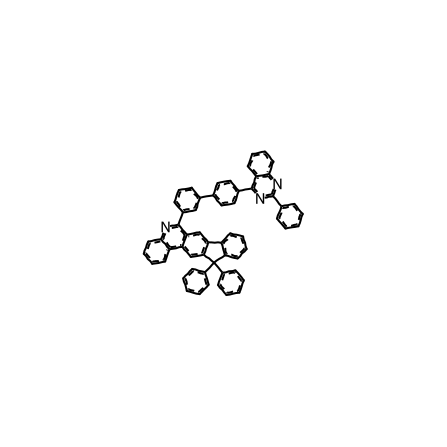 c1ccc(-c2nc(-c3ccc(-c4cccc(-c5nc6ccccc6c6cc7c(cc56)-c5ccccc5C7(c5ccccc5)c5ccccc5)c4)cc3)c3ccccc3n2)cc1